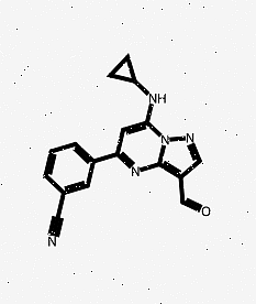 N#Cc1cccc(-c2cc(NC3CC3)n3ncc(C=O)c3n2)c1